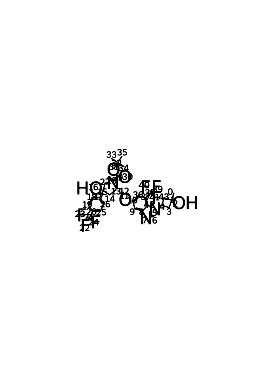 CC1(O)CC(n2cnc3cc(OC[C@@H]4C[C@](O)(c5ccc(C(F)(F)F)cc5)CN4C(=O)OC(C)(C)C)cc(C(F)(F)F)c32)C1